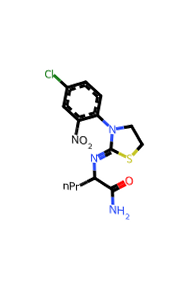 CCCC(N=C1SCCN1c1ccc(Cl)cc1[N+](=O)[O-])C(N)=O